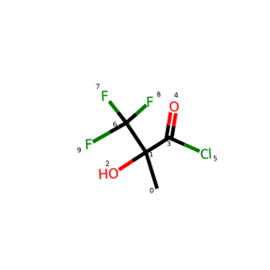 CC(O)(C(=O)Cl)C(F)(F)F